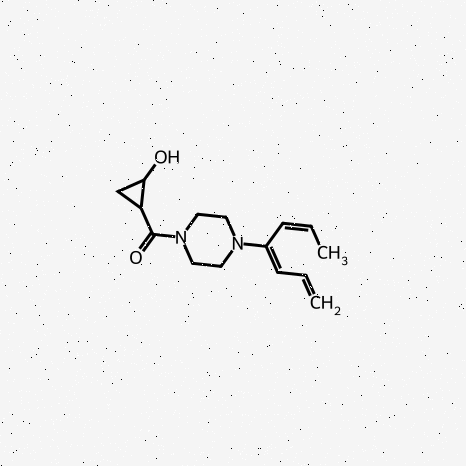 C=C/C=C(\C=C/C)N1CCN(C(=O)C2CC2O)CC1